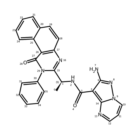 C[C@H](NC(=O)c1c(N)nn2cccnc12)c1nc2ccc3ccccc3c2c(=O)n1-c1ccccc1